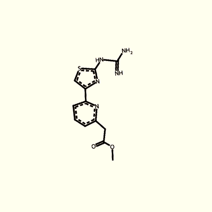 COC(=O)Cc1cccc(-c2csc(NC(=N)N)n2)n1